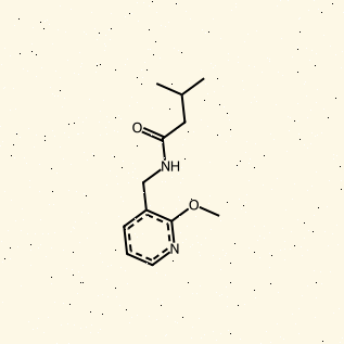 COc1ncccc1CNC(=O)CC(C)C